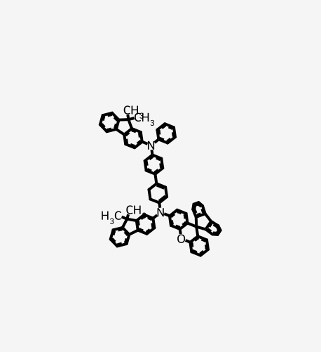 CC1(C)c2ccccc2-c2ccc(N(C3=CC=C(c4ccc(N(c5ccccc5)c5ccc6c(c5)C(C)(C)c5ccccc5-6)cc4)CC3)c3ccc4c(c3)Oc3ccccc3C43c4ccccc4-c4ccccc43)cc21